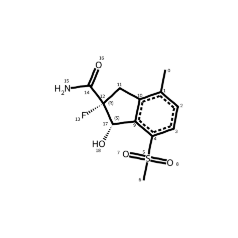 Cc1ccc(S(C)(=O)=O)c2c1C[C@](F)(C(N)=O)[C@H]2O